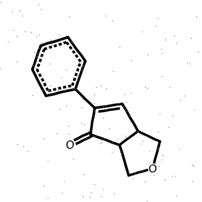 O=C1C(c2ccccc2)=CC2COCC12